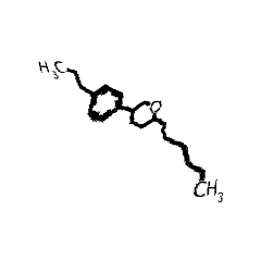 CCCCCCC1CCC(c2ccc(CCC)cc2)CO1